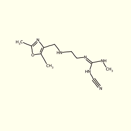 CNC(=NCCNCc1nc(C)oc1C)NC#N